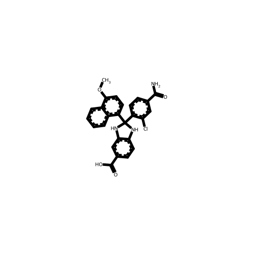 COc1ccc(C2(c3ccc(C(N)=O)cc3Cl)Nc3ccc(C(=O)O)cc3N2)c2ccccc12